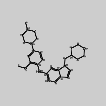 COc1cc(N2CCN(C)CC2)ccc1Nc1ncc2ccn(CC3CCOCC3)c2n1